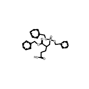 O=C(O)CCC(CP(=O)(OCc1ccccc1)OCc1ccccc1)C(=O)OCc1ccccc1